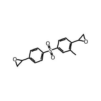 Cc1cc(S(=O)(=O)c2ccc(C3CO3)cc2)ccc1C1CO1